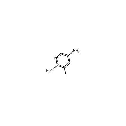 Cc1ncc(N)cc1I